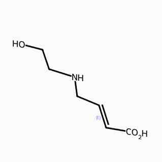 O=C(O)/C=C/CNCCO